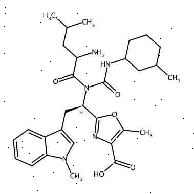 Cc1oc([C@@H](Cc2cn(C)c3ccccc23)N(C(=O)NC2CCCC(C)C2)C(=O)C(N)CC(C)C)nc1C(=O)O